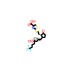 CC(O)(CC=CC1CCC(=O)[C@@H]1CCSc1nc(C(=O)O)cs1)CCCC(F)(F)F